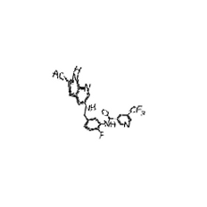 CC(=O)c1cc2cc(NCc3ccc(F)c(NC(=O)c4cncc(C(F)(F)F)c4)c3)cnc2[nH]1